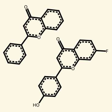 O=c1cc(-c2ccc(O)cc2)oc2cc(F)ccc12.O=c1cc(-c2ccccc2)oc2ccccc12